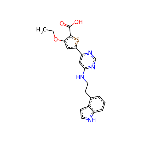 CCOc1cc(-c2cc(NCCc3cccc4[nH]ccc34)ncn2)sc1C(=O)O